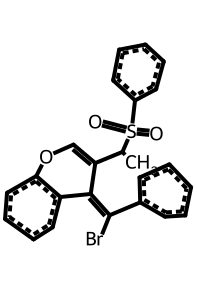 CC(C1=COc2ccccc2/C1=C(\Br)c1ccccc1)S(=O)(=O)c1ccccc1